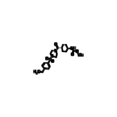 C=Cc1ccc(S(=O)(=O)N2CCN(C(=O)[C@H]3CC[C@H](NC(=O)OC(C)(C)C)CC3)CC2)cc1